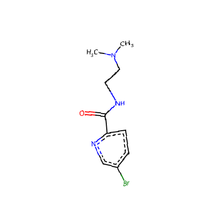 CN(C)CCNC(=O)c1ccc(Br)cn1